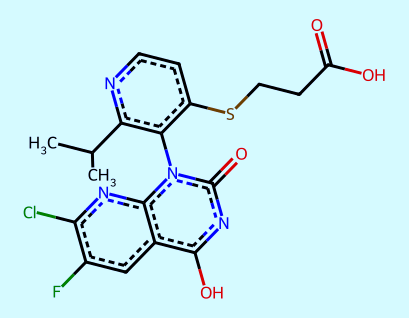 CC(C)c1nccc(SCCC(=O)O)c1-n1c(=O)nc(O)c2cc(F)c(Cl)nc21